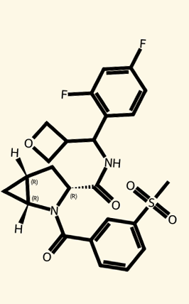 CS(=O)(=O)c1cccc(C(=O)N2[C@@H](C(=O)NC(c3ccc(F)cc3F)C3COC3)C[C@H]3C[C@H]32)c1